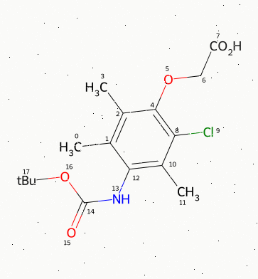 Cc1c(C)c(OCC(=O)O)c(Cl)c(C)c1NC(=O)OC(C)(C)C